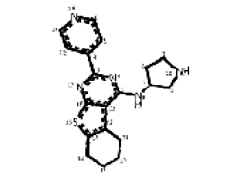 c1cc(-c2nc(N[C@H]3CCNC3)c3c4c(sc3n2)CCCC4)ccn1